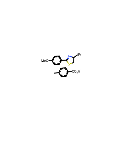 COc1ccc(C2=NC(C(C)C)CS2)cc1.Cc1ccc(C(=O)O)cc1